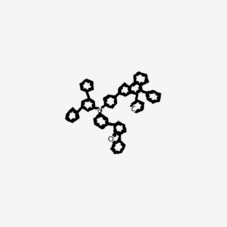 c1ccc(-c2cc(-c3ccccc3)cc(N(c3ccc(-c4ccc5c(c4)c(-c4ccccc4)c(-c4ccccc4)c4ccccc45)cc3)c3cccc(-c4cccc5c4oc4ccccc45)c3)c2)cc1